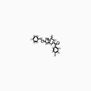 Cc1ccc(C(=O)N2Cc3cc(OCc4ccccc4)nn3C(C)C2)cc1